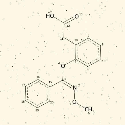 CON=C(Oc1ccccc1CC(=O)O)c1ccccc1